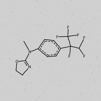 CN(C1=NCCO1)c1ccc(C(F)(C(F)F)C(F)(F)F)cc1